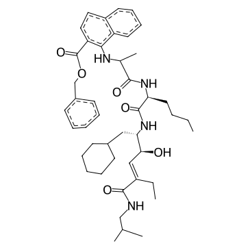 CCCC[C@H](NC(=O)C(C)Nc1c(C(=O)OCc2ccccc2)ccc2ccccc12)C(=O)N[C@@H](CC1CCCCC1)[C@@H](O)/C=C(\CC)C(=O)NCC(C)C